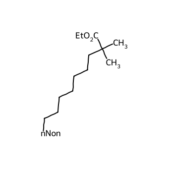 CCCCCCCCCCCCCCCCC(C)(C)C(=O)OCC